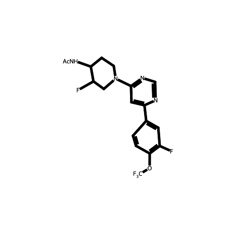 CC(=O)NC1CCN(c2cc(-c3ccc(OC(F)(F)F)c(F)c3)ncn2)CC1F